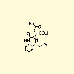 CC(C)CC1=NN(C(CC(=O)C(C)(C)C)C(=O)O)C(=O)Nc2ccccc21